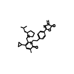 Cc1cc(C2CC2)c(CN2CCC[C@@H]2CC(C)C)n(CCc2ccc(-c3n[nH]c(=O)o3)cc2)c1=O